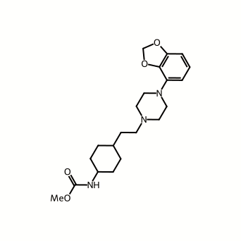 COC(=O)NC1CCC(CCN2CCN(c3cccc4c3OCO4)CC2)CC1